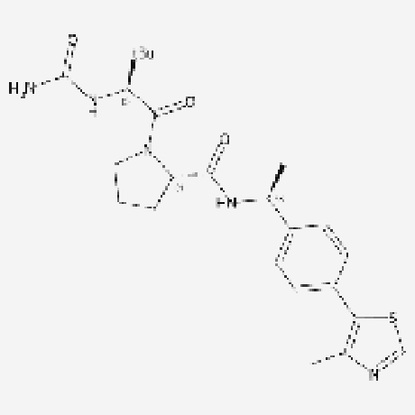 Cc1ncsc1-c1ccc([C@H](C)NC(=O)[C@@H]2CCCN2C(=O)[C@@H](NC(N)=O)C(C)(C)C)cc1